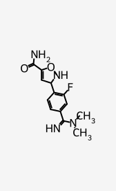 CN(C)C(=N)c1ccc(C2C=C(C(N)=O)ON2)c(F)c1